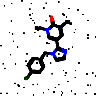 Cc1cc(-c2nccn2Cc2ccc(Cl)cc2)cn(C)c1=O